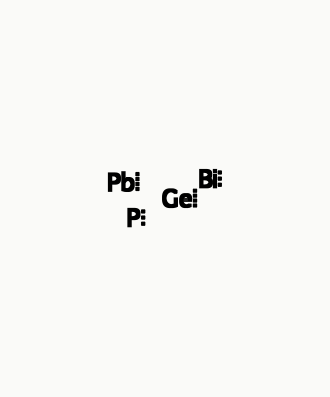 [Bi].[Ge].[P].[Pb]